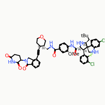 COc1cc(C(=O)NC[C@H]2COCC[C@@H]2C#Cc2cccc3c2CN(C2CCC(=O)NC2=O)C3=O)ccc1NC(=O)[C@@H]1N[C@@H](CC(C)(C)C)[C@@]2(CNc3cc(Cl)ccc32)[C@H]1c1cccc(Cl)c1F